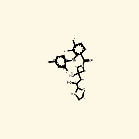 O=C(c1ccc(F)c(F)c1Nc1ccc(I)cc1F)N1CC(O)(CC(O)C2OCCO2)C1